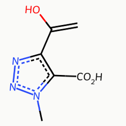 C=C(O)c1nnn(C)c1C(=O)O